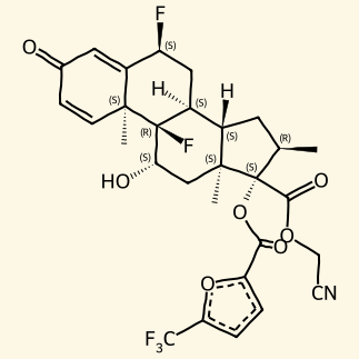 C[C@@H]1C[C@H]2[C@@H]3C[C@H](F)C4=CC(=O)C=C[C@]4(C)[C@@]3(F)[C@@H](O)C[C@]2(C)[C@]1(OC(=O)c1ccc(C(F)(F)F)o1)C(=O)OCC#N